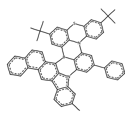 Cc1ccc2c3cc4c(ccc5ccccc54)c4c3n(c2c1)-c1cc(-c2ccccc2)cc2c1B4c1cc(C(C)(C)C)cc3c1N2c1ccc(C(C)(C)C)cc1S3